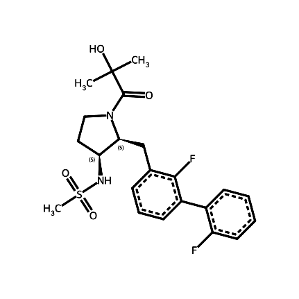 CC(C)(O)C(=O)N1CC[C@H](NS(C)(=O)=O)[C@@H]1Cc1cccc(-c2ccccc2F)c1F